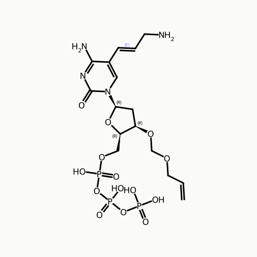 C=CCOCO[C@@H]1C[C@H](n2cc(/C=C/CN)c(N)nc2=O)O[C@@H]1COP(=O)(O)OP(=O)(O)OP(=O)(O)O